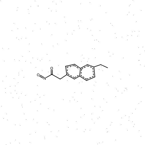 CCc1ccc2cc(CC(=O)N=O)ccc2c1